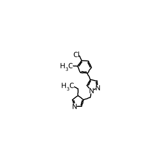 CCC1C=NC=C1Cn1cc(-c2ccc(Cl)c(C)c2)cn1